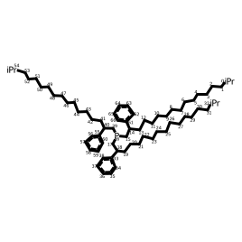 CC(C)CCCCCCCCCCCCCC(CP(CC(CCCCCCCCCCCCCC(C)C)c1ccccc1)CC(CCCCCCCCCCCCCC(C)C)c1ccccc1)c1ccccc1